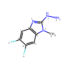 Cn1c(NN)nc2cc(F)c(F)cc21